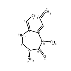 C=C/C=C1\C(=C/C)NC[C@H](N)C(=O)N1C